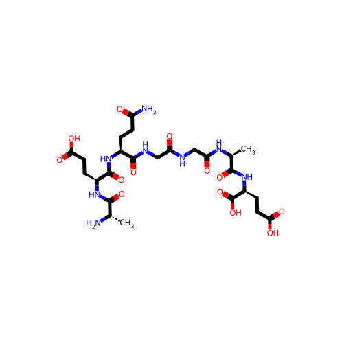 C[C@H](N)C(=O)N[C@@H](CCC(=O)O)C(=O)N[C@@H](CCC(N)=O)C(=O)NCC(=O)NCC(=O)N[C@@H](C)C(=O)N[C@@H](CCC(=O)O)C(=O)O